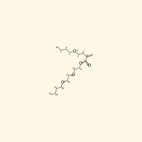 C=C(CCOCCCC)C(=O)OCCOCCOCCCC